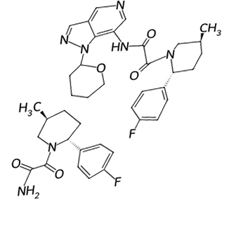 C[C@H]1CC[C@H](c2ccc(F)cc2)N(C(=O)C(=O)Nc2cncc3cnn(C4CCCCO4)c23)C1.C[C@H]1CC[C@H](c2ccc(F)cc2)N(C(=O)C(N)=O)C1